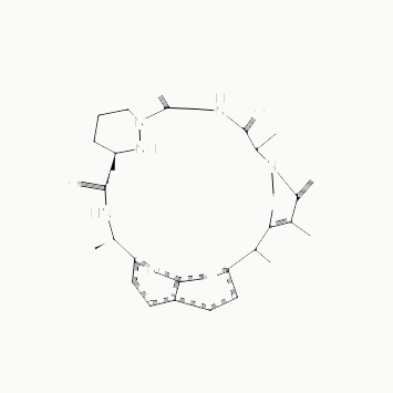 CC1=C2CN(C1=O)C(C(C)C)C(=O)N[C@@H](C)C(=O)N1CCC[C@H](N1)C(=O)N[C@H](C)c1ccc3ccc(cc3n1)C2C